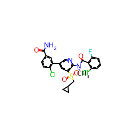 CN(C(=O)c1c(F)cccc1Cl)c1ncc(-c2cc(C(N)=O)ccc2Cl)cc1S(=O)(=O)CC1CC1